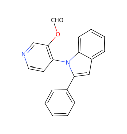 O=COc1cnccc1-n1c(-c2ccccc2)cc2ccccc21